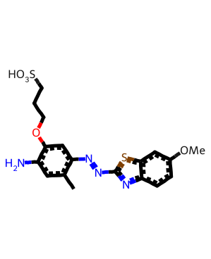 COc1ccc2nc(N=Nc3cc(OCCCS(=O)(=O)O)c(N)cc3C)sc2c1